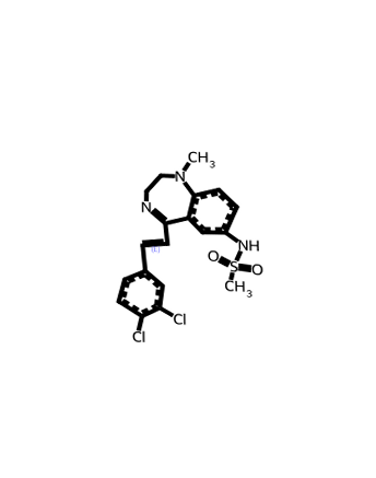 CN1CCN=C(/C=C/c2ccc(Cl)c(Cl)c2)c2cc(NS(C)(=O)=O)ccc21